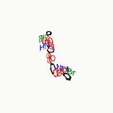 O=C(OC1CCOC(NS(=O)(=O)c2ccccc2Br)C1)OC1CCOC(NS(=O)(=O)c2ccccc2Br)C1